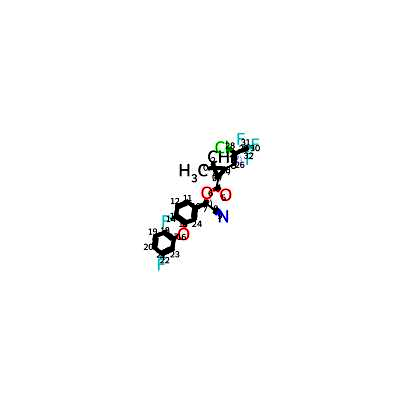 CC1(C)[C@H](C(=O)O[C@@H](C#N)c2ccc(F)c(Oc3cccc(F)c3)c2)[C@@H]1/C=C(\Cl)C(F)(F)F